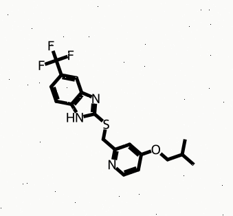 CC(C)COc1ccnc(CSc2nc3cc(C(F)(F)F)ccc3[nH]2)c1